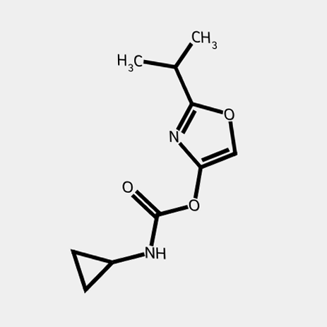 CC(C)c1nc(OC(=O)NC2CC2)co1